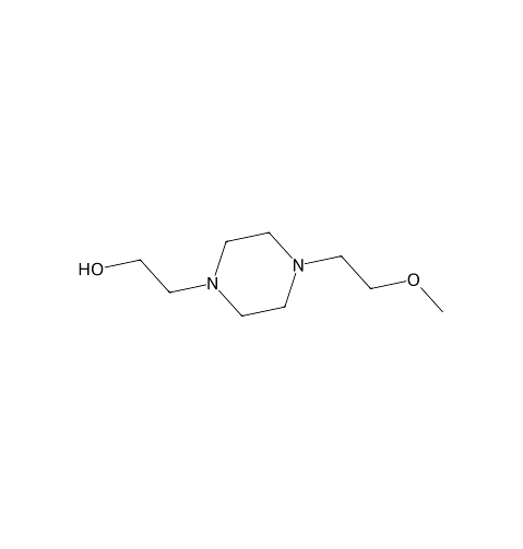 COCCN1CCN(CCO)CC1